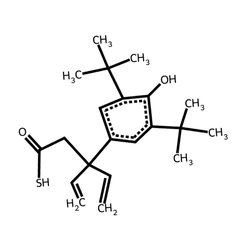 C=CC(C=C)(CC(=O)S)c1cc(C(C)(C)C)c(O)c(C(C)(C)C)c1